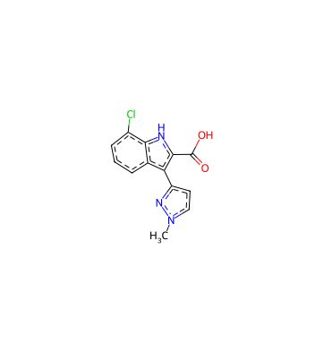 Cn1ccc(-c2c(C(=O)O)[nH]c3c(Cl)cccc23)n1